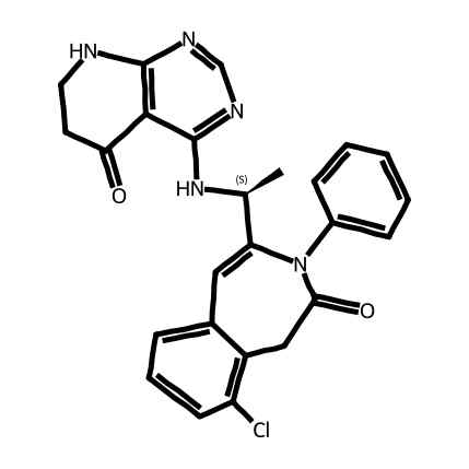 C[C@H](Nc1ncnc2c1C(=O)CCN2)C1=Cc2cccc(Cl)c2CC(=O)N1c1ccccc1